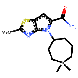 COc1nc2c(cc(C(N)=O)n2C2CCC[Si](C)(C)CC2)s1